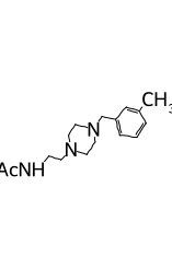 CC(=O)NCCN1CCN(Cc2cccc(C)c2)CC1